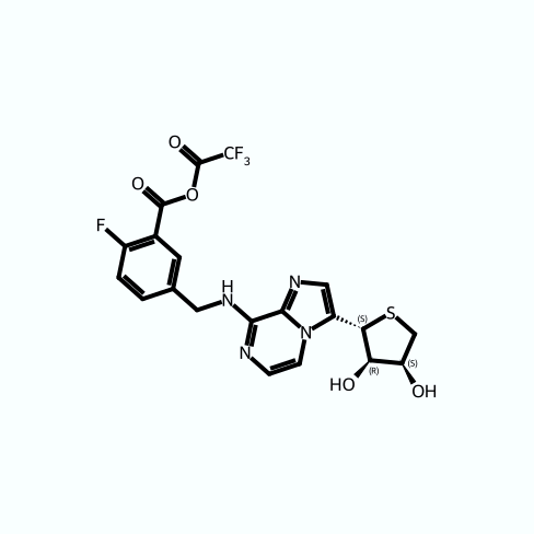 O=C(OC(=O)C(F)(F)F)c1cc(CNc2nccn3c([C@@H]4SC[C@@H](O)[C@H]4O)cnc23)ccc1F